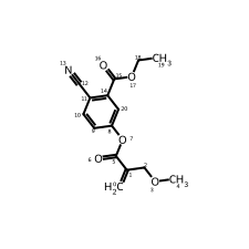 C=C(COC)C(=O)Oc1ccc(C#N)c(C(=O)OCC)c1